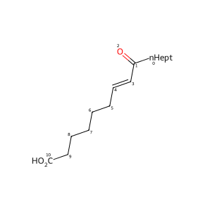 CCCCCCCC(=O)/C=C/CCCCCC(=O)O